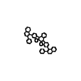 C1=Cc2ccc(-c3ccccc3)c(-c3ccc4c(c3)oc3c5oc6cc(-c7c(-c8ccccc8)ccc8ccccc78)ccc6c5c5ccccc5c43)c2CC1